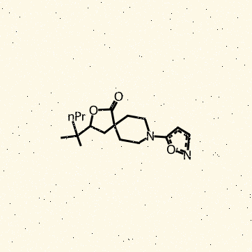 CCCC(C)(C)C1CC2(CCN(c3ccno3)CC2)C(=O)O1